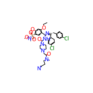 CCOc1cc(OC)c(S(=O)(=O)N(C)OC)cc1/C(=N/[C@H](Cc1ccc(Cl)cc1)C1C=CC(Cl)=CC1)NC(=O)N1CCN(CC(=O)N(C)CCC#N)CC1